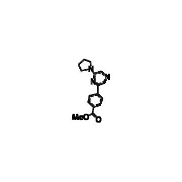 COC(=O)c1ccc(-c2cncc(N3CCCC3)n2)cc1